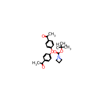 CC(=O)c1ccc(Oc2ccc(C(C)=O)cc2)cc1.CC(C)(C)OC(=O)N1CCC1